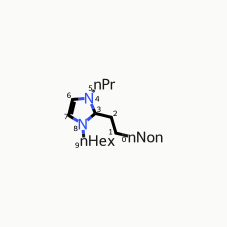 CCCCCCCCCCCC1N(CCC)C=CN1CCCCCC